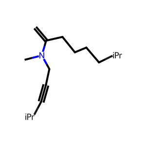 C=C(CCCCC(C)C)N(C)CC#CC(C)C